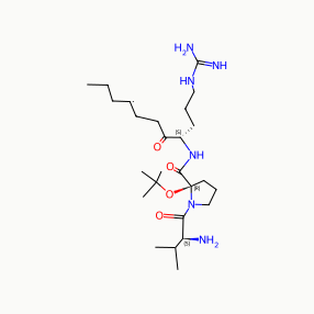 CCC[CH]CCC(=O)[C@H](CCCNC(=N)N)NC(=O)[C@]1(OC(C)(C)C)CCCN1C(=O)[C@@H](N)C(C)C